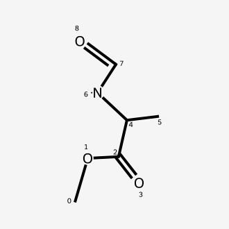 COC(=O)C(C)[N]C=O